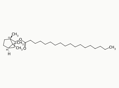 CCCCCCCCCCCCCCCCCC(=O)OC1C[C@H]2CC[C@@]1(C)C2(C)C